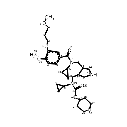 COCCCOc1cc(C(=O)N(CC2CNCC2CN(C(=O)OC2CCOCC2)C2CC2)C2CC2)ccc1OC